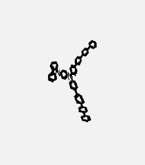 c1ccc(-c2ccc(-c3ccc(-c4ccc(N(c5ccc(-c6ccc(-c7ccc(-c8ccccc8)cc7)cc6)cc5)c5ccc(-n6c7ccccc7c7ccccc76)cc5)cc4)cc3)cc2)cc1